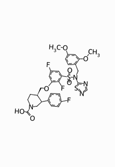 COc1ccc(CN(c2ncns2)S(=O)(=O)c2cc(F)cc(OC[C@@H]3CCN(C(=O)O)CC3c3ccc(F)cc3)c2F)c(OC)c1